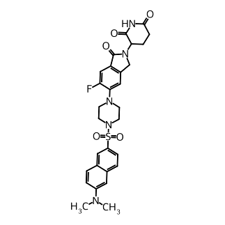 CN(C)c1ccc2cc(S(=O)(=O)N3CCN(c4cc5c(cc4F)C(=O)N(C4CCC(=O)NC4=O)C5)CC3)ccc2c1